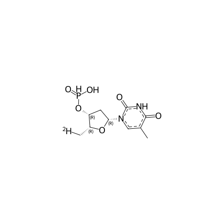 [2H]C[C@H]1O[C@@H](n2cc(C)c(=O)[nH]c2=O)C[C@H]1O[PH](=O)O